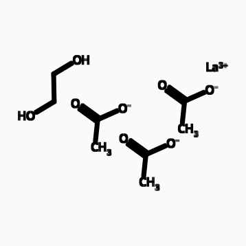 CC(=O)[O-].CC(=O)[O-].CC(=O)[O-].OCCO.[La+3]